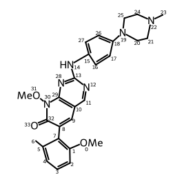 COc1cccc(C)c1-c1cc2cnc(Nc3ccc(N4CCN(C)CC4)cc3)nc2n(OC)c1=O